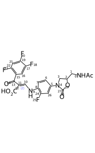 CC(=O)NCC1CN(c2ccc(N/C=C(\C(=O)O)C(=O)c3cc(F)c(F)cc3F)c(F)c2)C(=O)O1